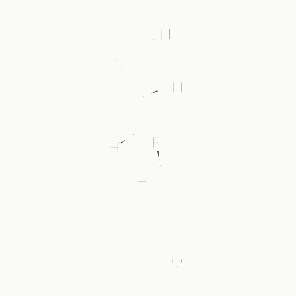 CC1C[C@H]2[C@@H]3CCC4=CC(=O)CC[C@]4(C)[C@@]3(F)C=C[C@]2(C)[C@@]1(O)C(=O)CO